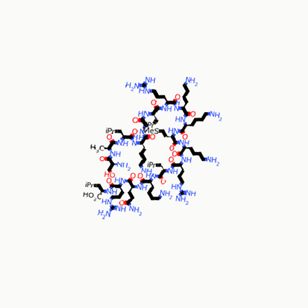 CSCC[C@H](NC(=O)[C@H](CCCCN)NC(=O)[C@H](CCCCN)NC(=O)[C@H](CCCNC(=N)N)NC(=O)[C@H](CC(C)C)NC(=O)CNC(=O)[C@H](CCCCN)NC(=O)[C@H](CC(C)C)NC(=O)[C@H](C)NC(=O)[C@@H](N)CO)C(=O)N[C@@H](CCCCN)C(=O)N[C@@H](CCCNC(=N)N)C(=O)N[C@@H](CC(C)C)C(=O)N[C@@H](CCCCN)C(=O)N[C@@H](CCC(N)=O)C(=O)N[C@@H](CCCNC(=N)N)C(=O)N[C@@H](CC(C)C)C(=O)O